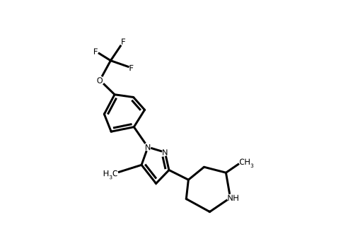 Cc1cc(C2CCNC(C)C2)nn1-c1ccc(OC(F)(F)F)cc1